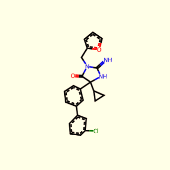 N=C1NC(c2cccc(-c3cccc(Cl)c3)c2)(C2CC2)C(=O)N1Cc1ccco1